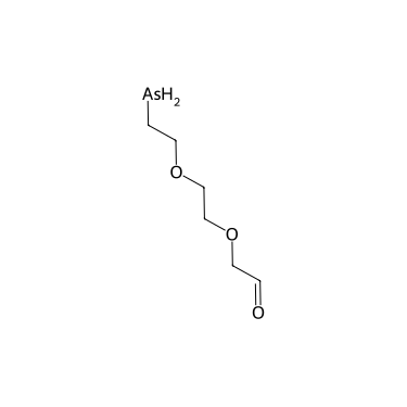 O=CCOCCOCC[AsH2]